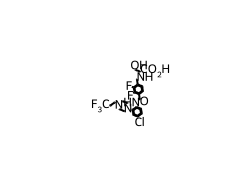 O=C(Nc1ccc(Cl)cc1N1CCN(CCC(F)(F)F)CC1)c1ccc(CNC(CO)C(=O)O)c(F)c1F